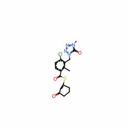 Cc1c(C(=O)SC2=CC(=O)CCC2)ccc(Cl)c1Cn1nnn(C)c1=O